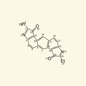 CCCc1nc2ccc3cc4c(ccc5nc(CC)c(=O)c54)cc3c2c1=O